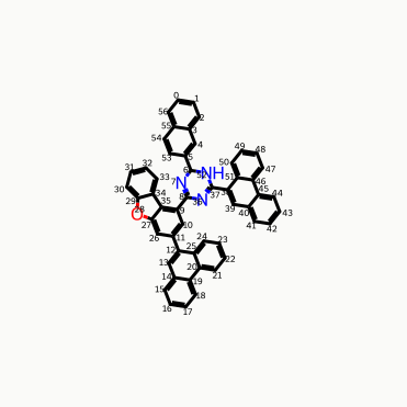 c1ccc2cc(C3N=C(c4cc(-c5cc6ccccc6c6ccccc56)cc5oc6ccccc6c45)N=C(c4cc5ccccc5c5ccccc45)N3)ccc2c1